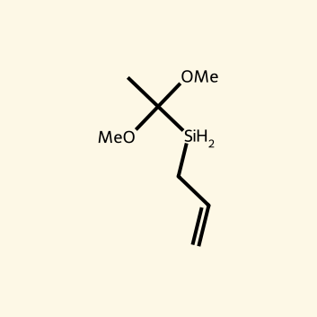 C=CC[SiH2]C(C)(OC)OC